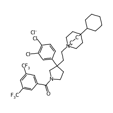 O=C(c1cc(C(F)(F)F)cc(C(F)(F)F)c1)N1CCC(CC[N+]23CCC(C4CCCCC4)(CC2)CC3)(c2ccc(Cl)c(Cl)c2)C1.[Cl-]